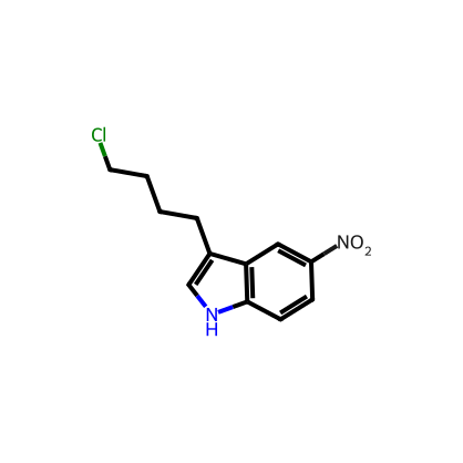 O=[N+]([O-])c1ccc2[nH]cc(CCCCCl)c2c1